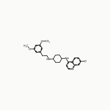 COc1cc(CCNC2CCC(Nc3ccnc4cc(Cl)ccc34)CC2)cc(OC)c1